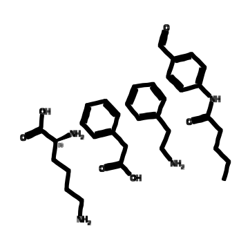 CCCCC(=O)Nc1ccc(C=O)cc1.NCCCC[C@H](N)C(=O)O.NCCc1ccccc1.O=C(O)Cc1ccccc1